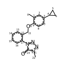 Cc1cc(C2CC2)ccc1OCc1ccccc1-n1nnn(C)c1=O